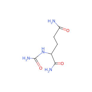 NC(=O)CCC(NC(N)=O)C(N)=O